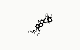 COc1c(OCCCl)ccc2c1ccc1c(Nc3ccc(F)c(Cl)c3)c(C#N)cnc12